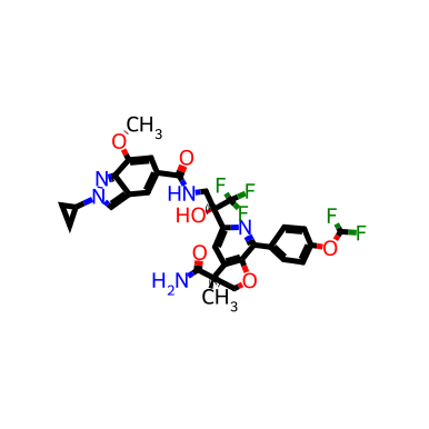 COc1cc(C(=O)NC[C@@](O)(c2cc3c(c(-c4ccc(OC(F)F)cc4)n2)OC[C@]3(C)C(N)=O)C(F)(F)F)cc2cn(C3CC3)nc12